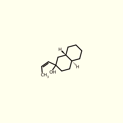 C/C=C\C1(O)CC[C@@H]2CCCC[C@H]2C1